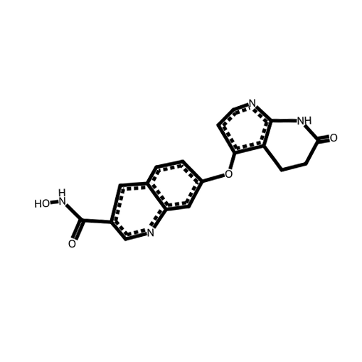 O=C1CCc2c(Oc3ccc4cc(C(=O)NO)cnc4c3)ccnc2N1